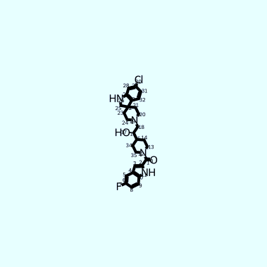 O=C(c1cc2cc(F)ccc2[nH]1)N1CCC([C@H](O)CN2CCC3(CC2)CNc2cc(Cl)ccc23)CC1